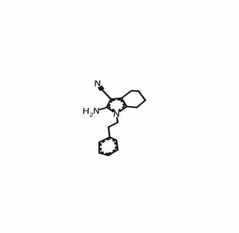 N#Cc1c2c(n(CCc3ccccc3)c1N)CCCC2